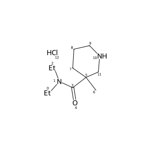 CCN(CC)C(=O)C1(C)CCCNC1.Cl